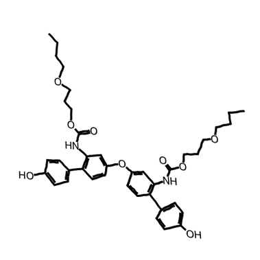 CCCCOCCCOC(=O)Nc1cc(Oc2ccc(-c3ccc(O)cc3)c(NC(=O)OCCCOCCCC)c2)ccc1-c1ccc(O)cc1